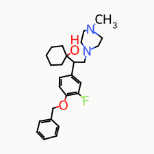 CN1CCN(CC(c2ccc(OCc3ccccc3)c(F)c2)C2(O)CCCCC2)CC1